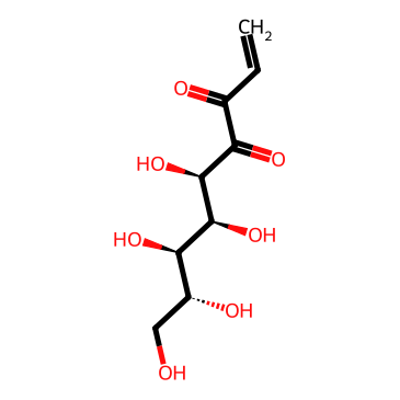 C=CC(=O)C(=O)[C@H](O)[C@@H](O)[C@H](O)[C@H](O)CO